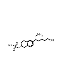 CCCCS(=O)(=O)C[C@@H]1CCc2cc([C@H](CN)CCCCO)ccc2C1